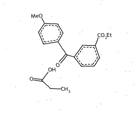 CCC(=O)O.CCOC(=O)c1cccc(C(=O)c2ccc(OC)cc2)c1